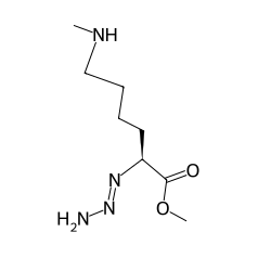 CNCCCC[C@H](N=NN)C(=O)OC